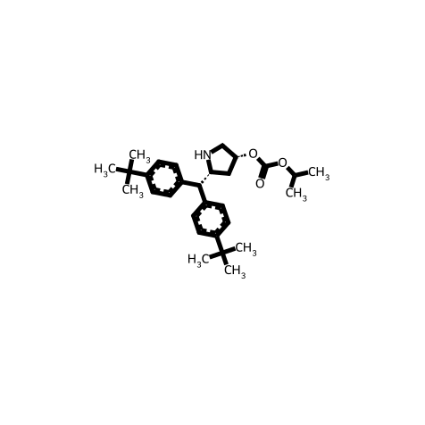 CC(C)OC(=O)O[C@H]1CN[C@@H](C(c2ccc(C(C)(C)C)cc2)c2ccc(C(C)(C)C)cc2)C1